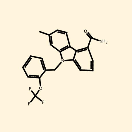 Cc1c[c]c2c3c(C(N)=O)cccc3n(Cc3ccccc3OC(F)(F)F)c2c1